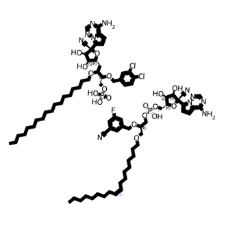 CCCCCCCC/C=C\CCCCCCCCOC[C@H](COP(=O)(O)OC[C@H]1O[C@@](C#N)(c2ccc3c(N)ncnn23)[C@H](O)[C@@H]1O)OCc1cc(F)cc(C#N)c1.CCCCCCCCCCCCCCCCCCOC(C[C@H]1O[C@@](C#N)(c2ccc3c(N)ncnn23)[C@H](O)[C@@H]1O)[C@@H](COP(=O)(O)O)OCc1ccc(Cl)c(Cl)c1